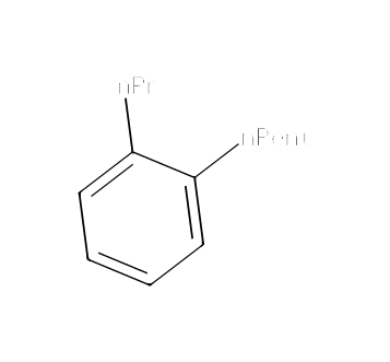 CCCCCc1ccccc1CCC